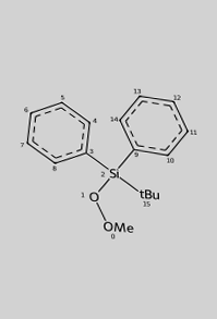 COO[Si](c1ccccc1)(c1ccccc1)C(C)(C)C